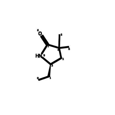 CC[C@@H]1CC(C)(C)C(=O)N1